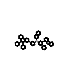 c1ccc(-c2c(-c3ccccc3)c3cc(-c4cccc(N(c5cccc(-c6cccc7c8ccccc8n(-c8ccccc8)c67)c5)c5ccc6ccccc6c5)c4)ccc3c3ccccc23)cc1